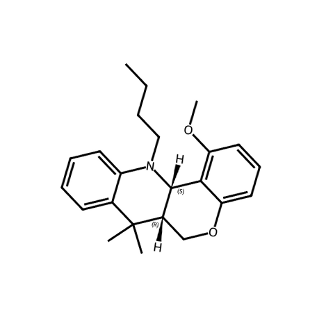 CCCCN1c2ccccc2C(C)(C)[C@H]2COc3cccc(OC)c3[C@H]21